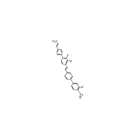 C/C=C/c1ccc(-c2ccc(/C=C/c3ccc(-c4ccc(C5CO5)c(F)c4)cc3)c(F)c2F)cc1